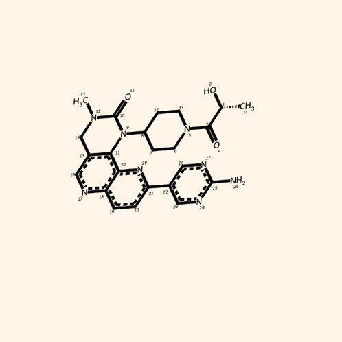 C[C@@H](O)C(=O)N1CCC(N2C(=O)N(C)Cc3cnc4ccc(-c5cnc(N)nc5)nc4c32)CC1